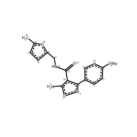 COc1ccc(-c2noc(N)c2C(=O)NCc2ccc(C)o2)cn1